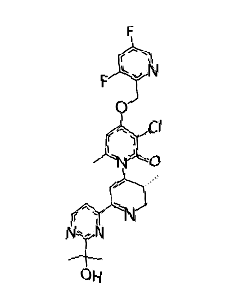 Cc1cc(OCc2ncc(F)cc2F)c(Cl)c(=O)n1C1=CC(c2ccnc(C(C)(C)O)n2)=NC[C@H]1C